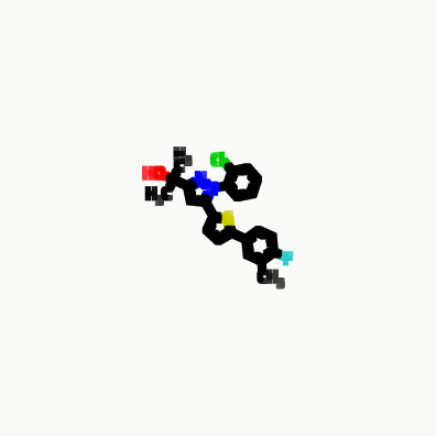 Cc1cc(-c2ccc(-c3cc(C(C)(C)O)nn3-c3ccccc3Cl)s2)ccc1F